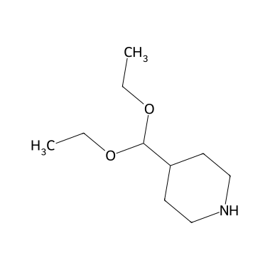 CCOC(OCC)C1CCNCC1